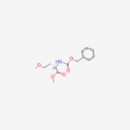 COCC[C@H](NC(=O)OCc1ccccc1)C(=O)OC